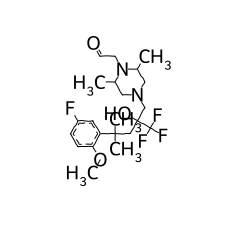 COc1ccc(F)cc1C(C)(C)CC(O)(CN1CC(C)N(CC=O)C(C)C1)C(F)(F)F